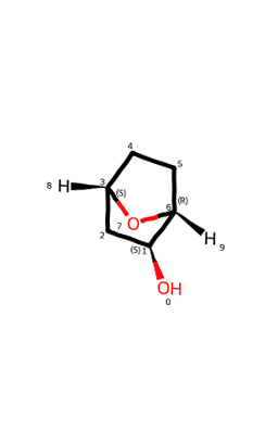 O[C@H]1C[C@@H]2CC[C@H]1O2